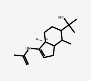 C=C(C)NC1=CCC2C(C)C(C(C)(C)CCC)CC[C@]12C